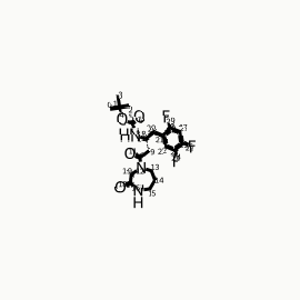 CC(C)(C)OC(=O)N[C@@H](CC(=O)N1CCCNC(=O)C1)Cc1cc(F)c(F)cc1F